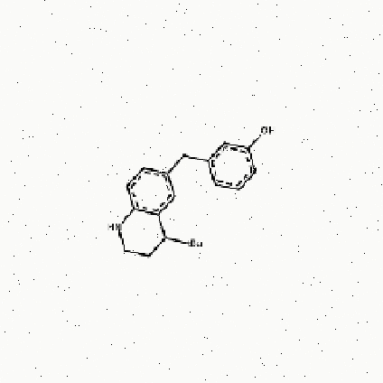 CC(C)(C)C1CCNc2ccc(Cc3cccc(O)c3)cc21